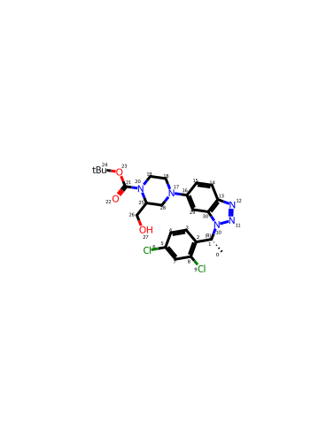 C[C@H](c1ccc(Cl)cc1Cl)n1nnc2ccc(N3CCN(C(=O)OC(C)(C)C)C(CO)C3)cc21